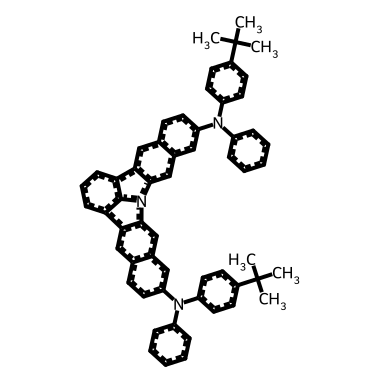 CC(C)(C)c1ccc(N(c2ccccc2)c2ccc3cc4c5cccc6c7cc8ccc(N(c9ccccc9)c9ccc(C(C)(C)C)cc9)cc8cc7n(c4cc3c2)c56)cc1